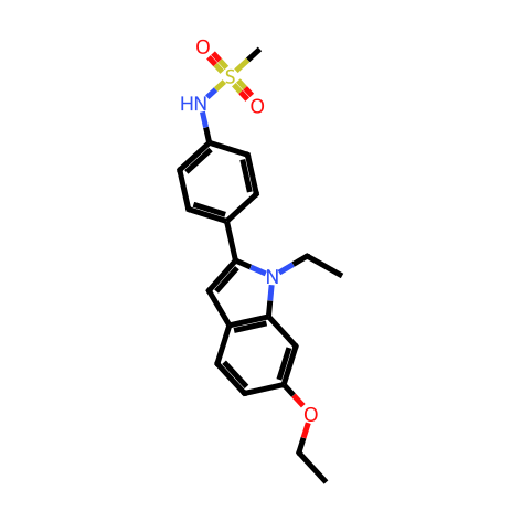 CCOc1ccc2cc(-c3ccc(NS(C)(=O)=O)cc3)n(CC)c2c1